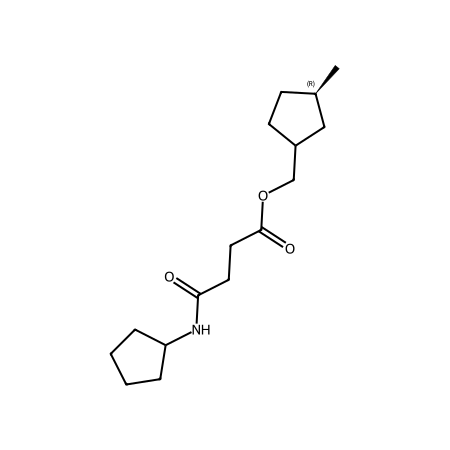 C[C@@H]1CCC(COC(=O)CCC(=O)NC2CCCC2)C1